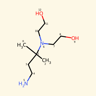 CC(C)(CCN)N(CCO)CCO